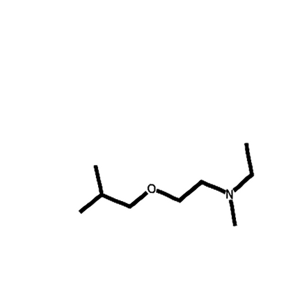 CCN(C)CCOCC(C)C